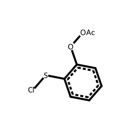 CC(=O)OOc1ccccc1SCl